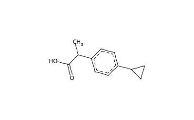 CC(C(=O)O)c1ccc(C2CC2)cc1